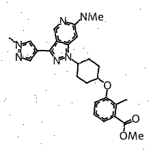 CNc1cc2c(cn1)c(-c1cnn(C)c1)nn2C1CCC(Oc2cccc(C(=O)OC)c2C)CC1